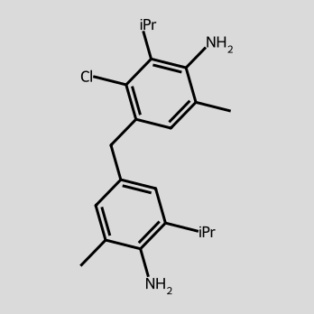 Cc1cc(Cc2cc(C)c(N)c(C(C)C)c2Cl)cc(C(C)C)c1N